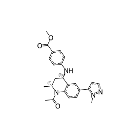 COC(=O)c1ccc(N[C@@H]2C[C@H](C)N(C(C)=O)c3ccc(-c4ccnn4C)cc32)cc1